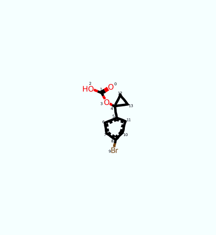 O=C(O)OC1(c2ccc(Br)cc2)CC1